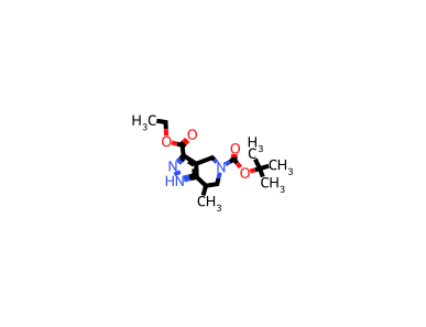 CCOC(=O)c1n[nH]c2c1CN(C(=O)OC(C)(C)C)CC2C